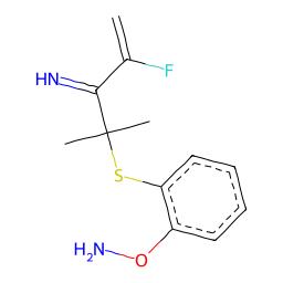 C=C(F)C(=N)C(C)(C)Sc1ccccc1ON